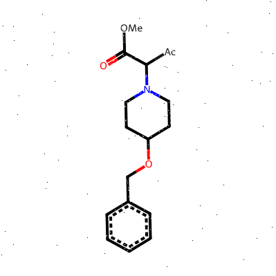 COC(=O)C(C(C)=O)N1CCC(OCc2ccccc2)CC1